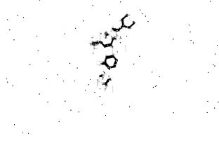 Cc1cn(-c2ccc(Nc3cc(C(F)(F)F)nn4cc(C5CCOCC5)nc34)cc2F)cn1